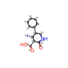 O=C(O)c1c(I)c(-c2ccccc2)c[nH]c1=O